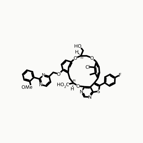 COc1ccccc1-c1nccc(COc2ccc3cc2C[C@H](C(=O)O)Oc2ncnc4sc(-c5ccc(F)cc5)c(c24)-c2ccc(c(Cl)c2C)OC[C@H](CO)O3)n1